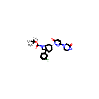 CC(C)(C)OC(=O)NC[C@]1(c2cccc(Cl)c2)CC[C@@H](n2nc(N3CCNC(=O)C3)ccc2=O)CC1